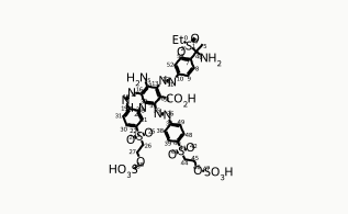 CCS(=O)(=O)C(C)(N)c1ccc(N=Nc2c(N)c(/N=N\c3ccc(S(=O)(=O)CCOS(=O)(=O)O)cc3)c(N)c(N=Nc3ccc(S(=O)(=O)CCOS(=O)(=O)O)cc3)c2C(=O)O)cc1